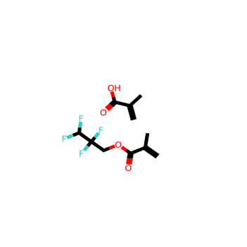 C=C(C)C(=O)O.C=C(C)C(=O)OCC(F)(F)C(F)F